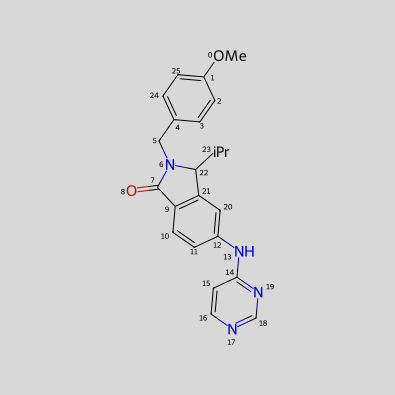 COc1ccc(CN2C(=O)c3ccc(Nc4ccncn4)cc3C2C(C)C)cc1